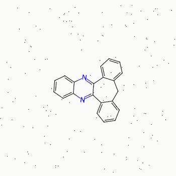 c1ccc2c(c1)Cc1ccccc1-c1nc3ccccc3nc1-2